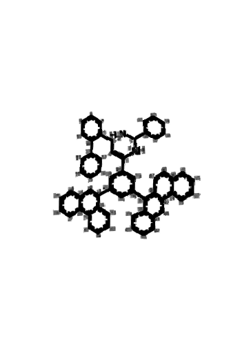 NC(N/C(=C\Cc1ccccc1-c1ccccc1)c1cc(-c2cc3ccccc3c3ccccc23)cc(-c2c3ccccc3cc3c2ccc2ccccc23)c1)c1ccccc1